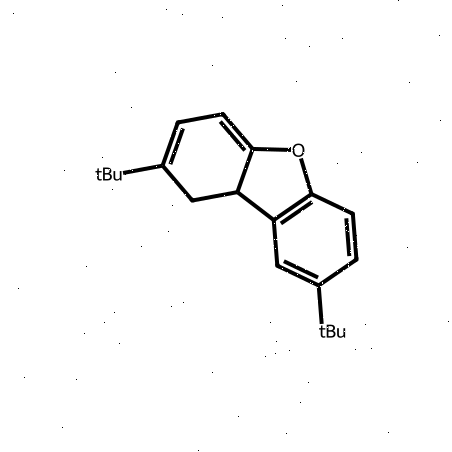 CC(C)(C)C1=CC=C2Oc3ccc(C(C)(C)C)cc3C2C1